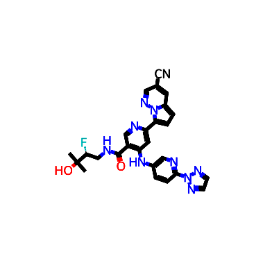 CC(C)(O)[C@H](F)CNC(=O)c1cnc(-c2ccc3cc(C#N)cnn23)cc1Nc1ccc(-n2nccn2)nc1